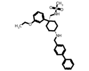 CCOc1cccc([C@]2(CNS(C)(=O)=O)CC[C@@H](NCc3ccc(-c4ccccc4)cc3)CC2)c1